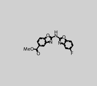 COC(=O)c1ccc2oc(Nc3nc4cc(F)ccc4o3)nc2c1